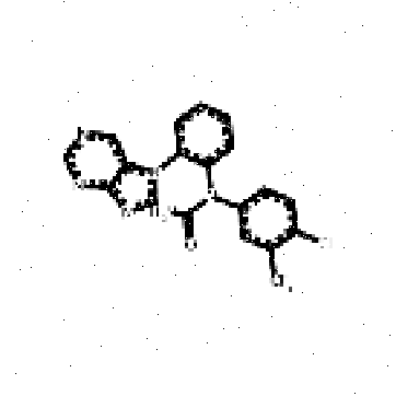 NC(=O)N(c1ccc(Cl)c(C(F)(F)F)c1)c1ccccc1-n1cnc2ncncc21